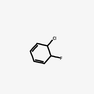 FC1C=CC=C[C]1Cl